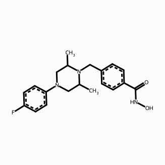 CC1CN(c2ccc(F)cc2)CC(C)N1Cc1ccc(C(=O)NO)cc1